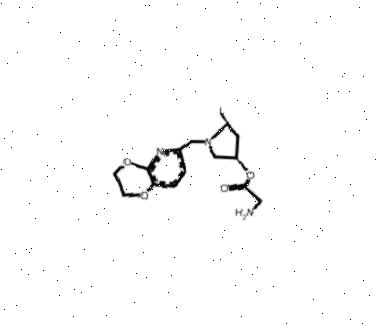 NCC(=O)O[C@@H]1C[C@H](I)N(Cc2ccc3c(n2)OCCO3)C1